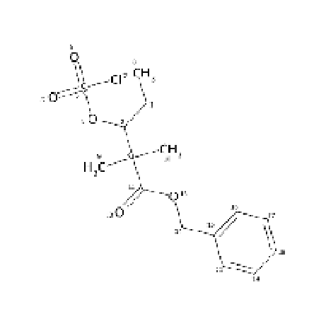 CCC(OS(=O)(=O)Cl)C(C)(C)C(=O)OCc1ccccc1